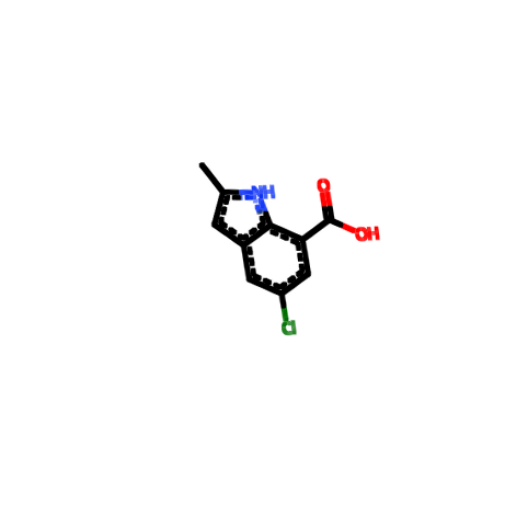 Cc1cc2cc(Cl)cc(C(=O)O)c2[nH]1